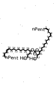 CCCCC/C=C\C/C=C\CCCCCCCCC(CCCO)OC(=O)OC(CCCO)CCCCCCCC/C=C\C/C=C\CCCCC